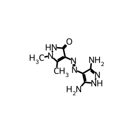 Cc1c(/N=N/c2c(N)n[nH]c2N)c(=O)[nH]n1C